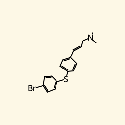 CN(C)CC=Cc1ccc(Sc2ccc(Br)cc2)cc1